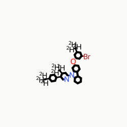 [2H]C([2H])([2H])c1ccc(-c2cnc(-n3c4ccccc4c4ccc(Oc5cc(Br)cc(C([2H])([2H])[2H])c5)cc43)cc2C([2H])([2H])[2H])cc1